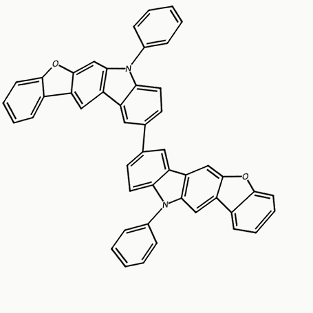 c1ccc(-n2c3ccc(-c4ccc5c(c4)c4cc6oc7ccccc7c6cc4n5-c4ccccc4)cc3c3cc4c(cc32)oc2ccccc24)cc1